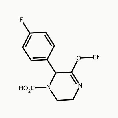 CCOC1=NCCN(C(=O)O)C1c1ccc(F)cc1